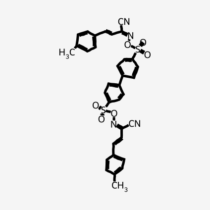 Cc1ccc(C=CC(C#N)=NOS(=O)(=O)c2ccc(-c3ccc(S(=O)(=O)ON=C(C#N)C=Cc4ccc(C)cc4)cc3)cc2)cc1